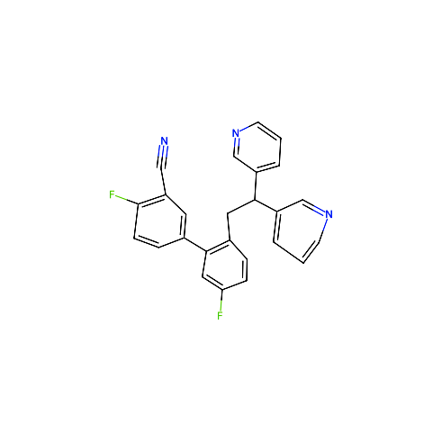 N#Cc1cc(-c2cc(F)ccc2CC(c2cccnc2)c2cccnc2)ccc1F